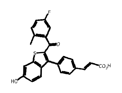 Cc1ccc(F)cc1C(=O)c1sc2cc(O)ccc2c1-c1ccc(/C=C/C(=O)O)cc1